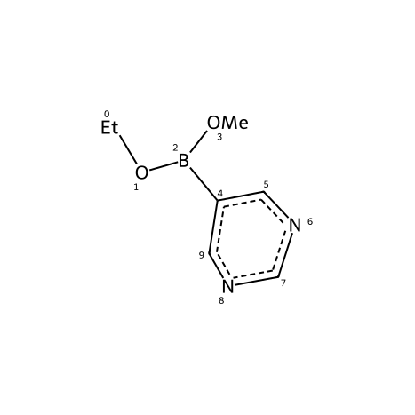 CCOB(OC)c1cncnc1